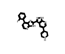 Fc1ccccc1-c1ccnc2[nH]c(-c3n[nH]c4ncc(C5=CCNCC5)cc34)nc12